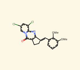 COc1cccc(C=C2CCc3c2nc2c(Cl)cc(Cl)cn2c3=O)c1OC